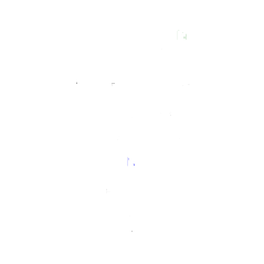 O=C1c2c(F)cc(Br)cc2CCN1CC(F)(F)F